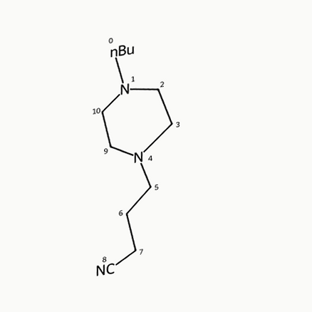 CCCCN1CCN(CCCC#N)CC1